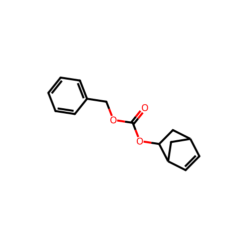 O=C(OCc1ccccc1)OC1CC2C=CC1C2